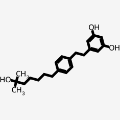 CC(C)(O)CCCCCc1ccc(CCc2cc(O)cc(O)c2)cc1